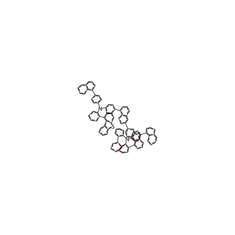 c1ccc(-c2ccccc2N(c2ccc(-c3cccc4ccccc34)cc2)c2ccccc2-c2cccc3sc4cc(-c5ccc6c(-c7ccc(N(c8ccc(-c9cccc%10ccccc9%10)cc8)c8ccccc8-c8cccc9sc%10ccccc%10c89)cc7)cccc6c5)ccc4c23)cc1